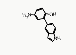 Nc1ccc(O)c(-c2ccc3[nH]ccc3c2)c1